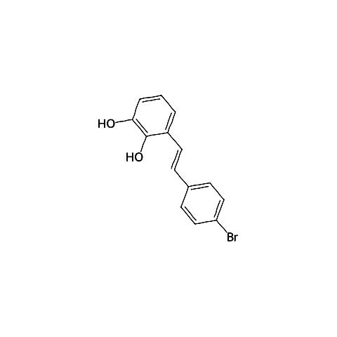 Oc1cccc(C=Cc2ccc(Br)cc2)c1O